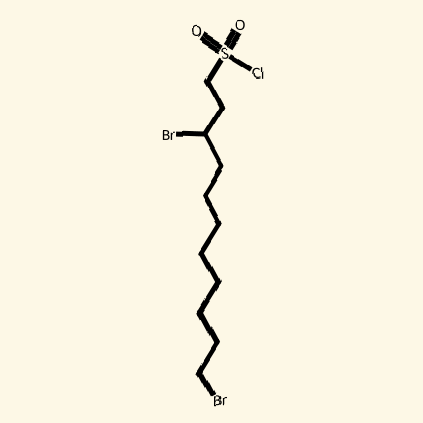 O=S(=O)(Cl)CCC(Br)CCCCCCCCBr